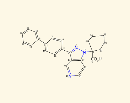 O=C(O)C1(n2nc(-c3ccc(-c4ccccc4)cc3)c3cnccc32)CCCCC1